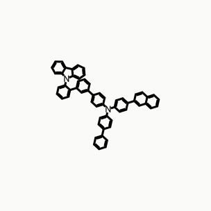 c1ccc(-c2ccc(N(c3ccc(-c4cccc(-c5ccccc5-n5c6ccccc6c6ccccc65)c4)cc3)c3ccc(-c4ccc5ccccc5c4)cc3)cc2)cc1